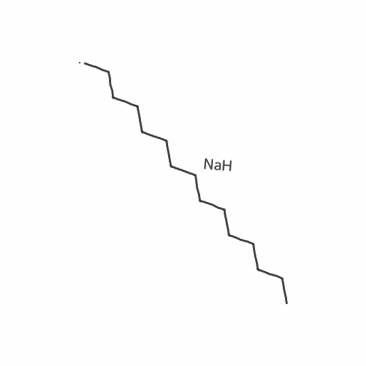 [CH2]CCCCCCCCCCCCCC.[NaH]